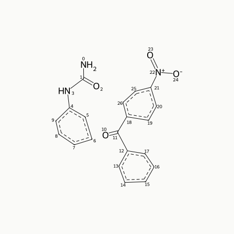 NC(=O)Nc1ccccc1.O=C(c1ccccc1)c1ccc([N+](=O)[O-])cc1